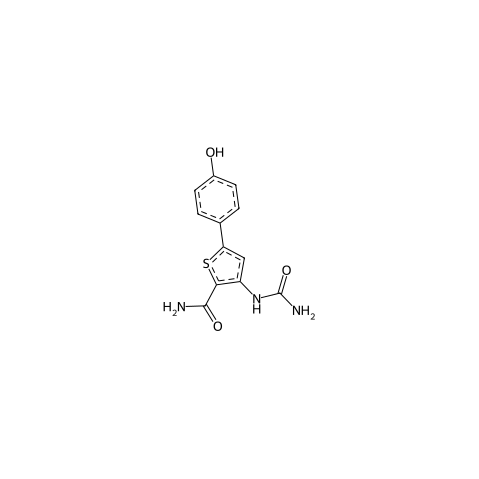 NC(=O)Nc1cc(-c2ccc(O)cc2)sc1C(N)=O